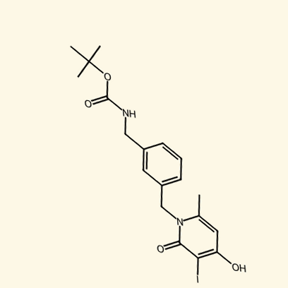 Cc1cc(O)c(I)c(=O)n1Cc1cccc(CNC(=O)OC(C)(C)C)c1